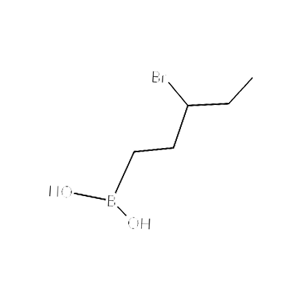 CCC(Br)CCB(O)O